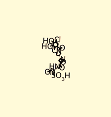 O=C(NC[C@H]1CC(=O)N1S(=O)(=O)O)c1cc([C@@H]2CCN(C(=O)c3cc(Cl)c(O)c(O)c3Cl)C2)no1